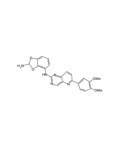 COc1ccc(-c2ccc3nc(Nc4cccc5c4OC(N)O5)ncc3n2)cc1OC